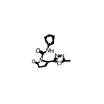 Cc1nnc(C2CCC(=O)N2C(=O)Nc2ccccc2)o1